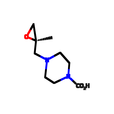 C[C@@]1(CN2CCN(C(=O)O)CC2)CO1